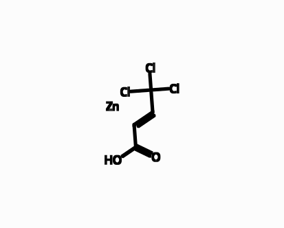 O=C(O)/C=C/C(Cl)(Cl)Cl.[Zn]